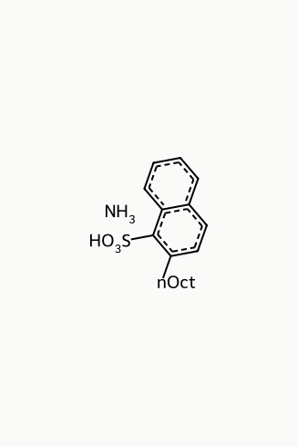 CCCCCCCCc1ccc2ccccc2c1S(=O)(=O)O.N